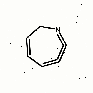 C1=C=NCC=CC=1